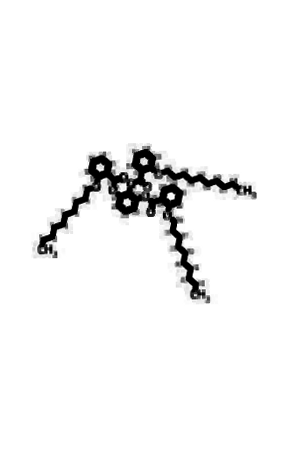 CCCCCCCCCCOc1ccccc1C(=O)Oc1cccc(OC(=O)c2ccccc2OCCCCCCCCCC)c1OC(=O)c1ccccc1OCCCCCCCCCC